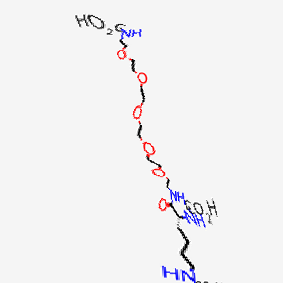 O=C(O)NCCCC[C@@H](NC(=O)O)C(=O)NCCOCCOCCOCCOCCOCCNC(=O)O